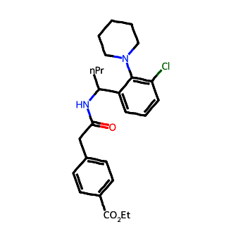 CCCC(NC(=O)Cc1ccc(C(=O)OCC)cc1)c1cccc(Cl)c1N1CCCCC1